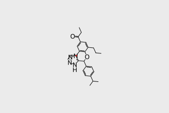 CCCc1cc(C(=O)CC)cc(CCC)c1OC(c1ccc(C(C)C)cc1)c1nnn[nH]1